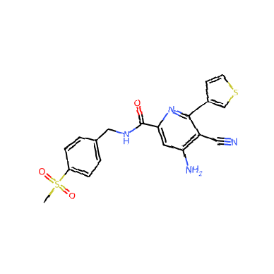 CS(=O)(=O)c1ccc(CNC(=O)c2cc(N)c(C#N)c(-c3ccsc3)n2)cc1